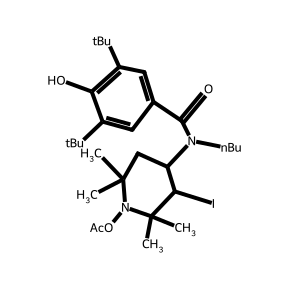 CCCCN(C(=O)c1cc(C(C)(C)C)c(O)c(C(C)(C)C)c1)C1CC(C)(C)N(OC(C)=O)C(C)(C)C1I